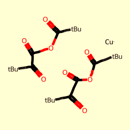 CC(C)(C)C(=O)OC(=O)C(=O)C(C)(C)C.CC(C)(C)C(=O)OC(=O)C(=O)C(C)(C)C.[Cu]